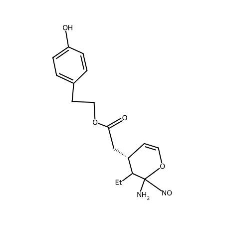 CCC1[C@H](CC(=O)OCCc2ccc(O)cc2)C=COC1(N)N=O